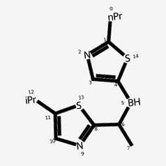 CCCc1ncc(BC(C)c2ncc(C(C)C)s2)s1